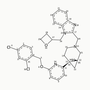 Clc1ccc(COc2cccc([C@@]34CCN(Cc5nc6ccccc6n5CC5CCO5)C[C@@H]3C4)n2)c(Cl)c1